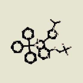 CC(C)n1cc(-c2nn(C(c3ccccc3)(c3ccccc3)c3ccccc3)c3ccnc(OCC(F)(F)F)c23)cn1